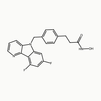 O=C(CCc1ccc(Cn2c3cccnc3c3c(F)cc(F)cc32)cc1)NO